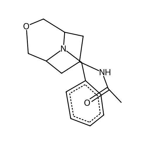 CC(=O)NC1CC2COCC(C1)N2Cc1ccccc1